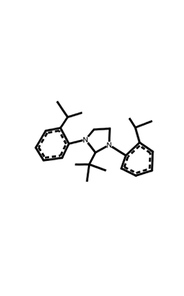 CC(C)c1ccccc1N1CCN(c2ccccc2C(C)C)C1C(C)(C)C